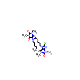 CCCCCn1c(SCCCn2c(Br)nc3c2c(=O)n(C)c(=O)n3C)nc2c1c(=O)n(C)c(=O)n2C